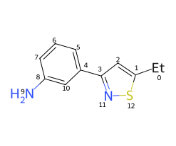 CCc1cc(-c2cccc(N)c2)ns1